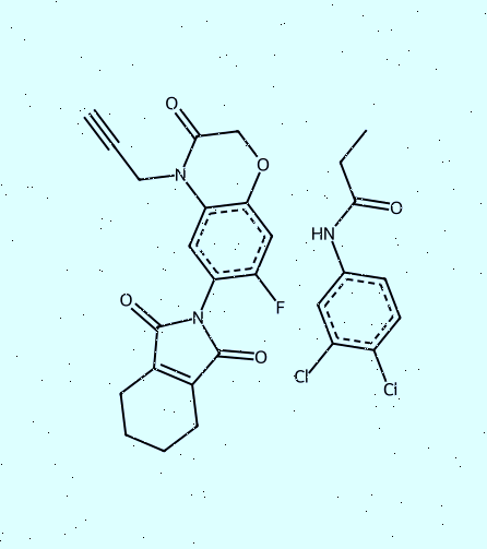 C#CCN1C(=O)COc2cc(F)c(N3C(=O)C4=C(CCCC4)C3=O)cc21.CCC(=O)Nc1ccc(Cl)c(Cl)c1